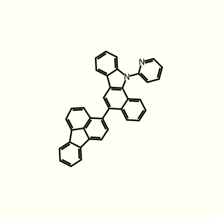 c1ccc(-n2c3ccccc3c3cc(-c4ccc5c6c(cccc46)-c4ccccc4-5)c4ccccc4c32)nc1